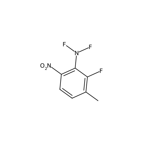 Cc1ccc([N+](=O)[O-])c(N(F)F)c1F